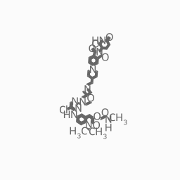 CNC(=O)COc1cc2cc(Nc3nc(N4CCOC5(CN(CCC6CCN(c7ccc8c(c7)C(=O)N(C7CCC(=O)NC7=O)C8=O)CC6)C5)C4)ncc3Cl)ccc2n(C(C)C)c1=O